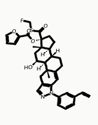 C=Cc1cccc(-n2ncc3c2C=C2CC[C@@H]4[C@H]([C@@H](O)C[C@@]5(C)[C@H]4CC[C@]5(OC(=O)c4ccco4)C(=O)SCF)[C@@]2(C)C3)c1